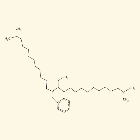 CCC(CCCCCCCCCCC(C)C)[C](CCCCCCCCCCC(C)C)Cc1ccccc1